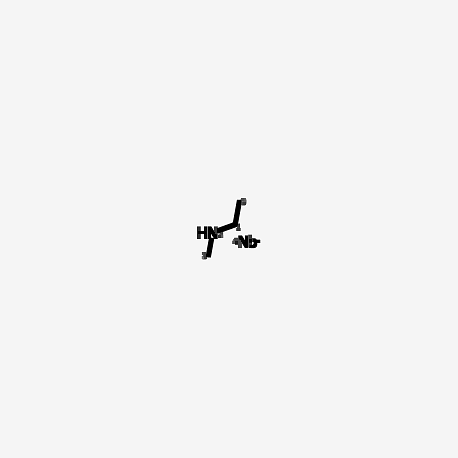 CCNC.[Nb]